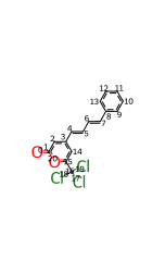 O=c1cc(C=CC=Cc2ccccc2)cc(C(Cl)(Cl)Cl)o1